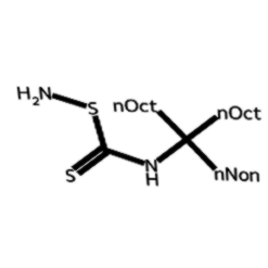 CCCCCCCCCC(CCCCCCCC)(CCCCCCCC)NC(=S)SN